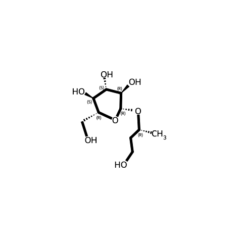 C[C@H](CCO)O[C@@H]1O[C@H](CO)[C@@H](O)[C@H](O)[C@H]1O